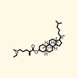 C=C(CCCN(C)CC)C(=O)O[C@H]1CC[C@@]2(C)[C@H](CC[C@@H]3[C@H]2CC[C@]2(C)C([C@H](C)CCCC(C)C)CC[C@H]32)C1